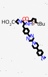 CN(C)c1ccc(C2CCN(c3cnc(-c4ccc(CC(NC(=O)c5ccc(C(C)(C)C)s5)C(=O)N5CC(C(=O)O)C5)cc4)nc3)CC2)cc1